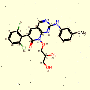 COc1cccc(Nc2ncc3cc(-c4c(F)cccc4Cl)c(=O)n(OC[C@@H](O)CO)c3n2)c1